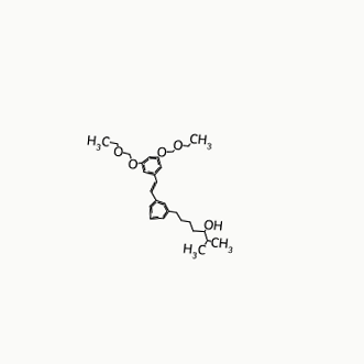 CCOCOc1cc(/C=C/c2cccc(CCCCC(O)C(C)C)c2)cc(OCOCC)c1